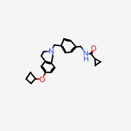 O=C(NCc1ccc(CN2CCc3cc(OC4CCC4)ccc3C2)cc1)C1CC1